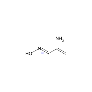 C=C(N)/[C]=N/O